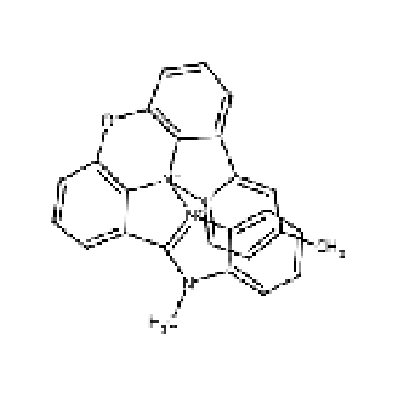 Cc1cc[n+]2c(c1)-c1cccc3c1[N+]21c2c(cccc2-c2n(C)c4ccccc4[n+]21)O3